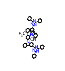 N#Cc1c(-n2c3ccccc3c3cc(-c4nc(-c5ccccc5)nc(-c5ccccc5)n4)ccc32)ccc(-c2c(C(F)(F)F)cccc2C(F)(F)F)c1-n1c2ccccc2c2cc(-c3nc(-c4ccccc4)nc(-c4ccccc4)n3)ccc21